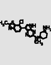 Cc1nc2ccc(-c3c[nH]c4nc(N(C)[C@@H]5CCC[C@@H](N)C5)cnc34)c(Cl)c2s1